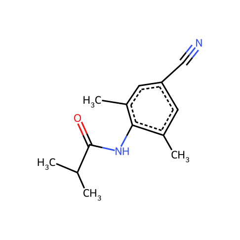 Cc1cc(C#N)cc(C)c1NC(=O)C(C)C